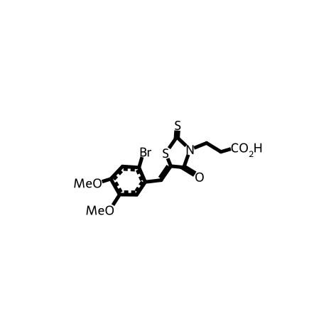 COc1cc(Br)c(/C=C2\SC(=S)N(CCC(=O)O)C2=O)cc1OC